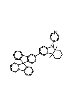 CC12CCCCC1(C)N(c1ccncc1)c1ccc(-c3ccc4c(c3)-c3ccccc3C43c4ccccc4-c4ccccc43)cc12